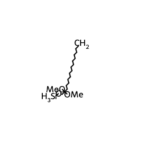 C=CCCCCCCCCCCCCCCC(CO[SiH3])(OC)OC